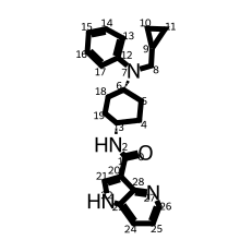 O=C(N[C@H]1CC[C@@H](N(CC2CC2)c2ccccc2)CC1)c1c[nH]c2cccnc12